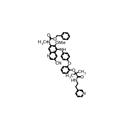 COc1c(N(C)C(=O)OCc2ccccc2)cc2ncc(C#N)cc2c1Nc1ccc(Oc2ccccc2OC(C)(C)C(=O)NCCc2cccnc2)cc1